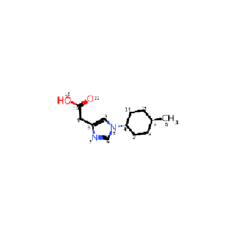 C[C@H]1CC[C@H](n2cnc(CC(=O)O)c2)CC1